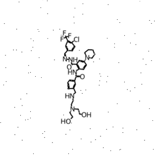 O=C(Nc1ccc(N2CCCCC2)cc1C(=O)N/N=C\c1ccc(Cl)c(C(F)(F)F)c1)c1cccc(CNCCN(CCO)CCO)c1